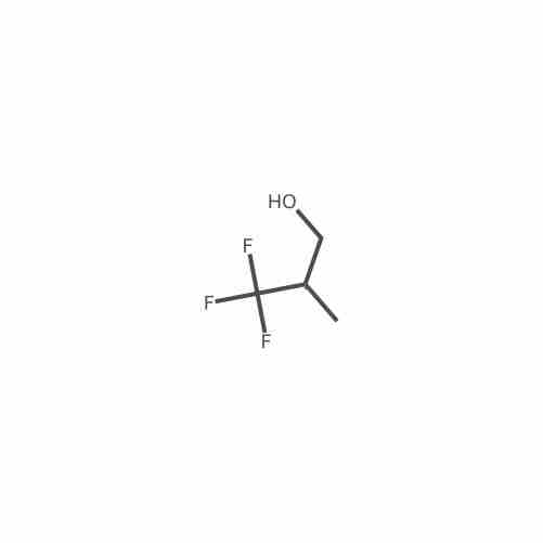 C[C](CO)C(F)(F)F